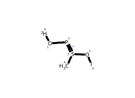 [2H]O/P=S(\C)OI